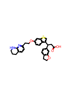 O=C(O)CC(c1ccc2c(c1)OCC2)c1csc2cc(OCCc3ccc4c(n3)NCCC4)ccc12